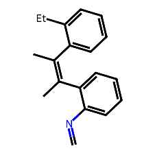 C=Nc1ccccc1/C(C)=C(/C)c1ccccc1CC